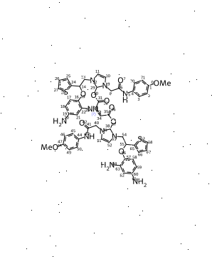 COc1ccc(NC(=O)CN2C=CN(CC(Oc3ccc(N)cc3N)c3cccs3)C2OC(=O)/C=C\C(=O)OC2N(CC(=O)Nc3ccc(OC)cc3)C=CN2CC(Oc2ccc(N)cc2N)c2cccs2)cc1